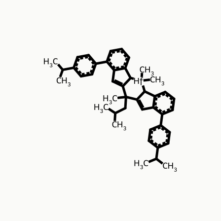 CC(C)CC1(C)C2=Cc3c(-c4ccc(C(C)C)cc4)cccc3[CH]2[Hf]([CH3])([CH3])[CH]2C1=Cc1c(-c3ccc(C(C)C)cc3)cccc12